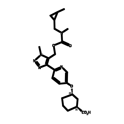 CC1CC1CN(C)C(=O)OCc1c(-c2ccc(O[C@H]3CCC[C@H](C(=O)O)C3)cn2)nnn1C